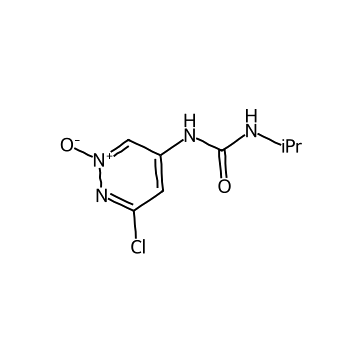 CC(C)NC(=O)Nc1cc(Cl)n[n+]([O-])c1